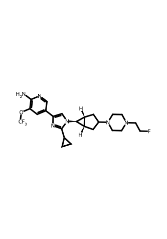 Nc1ncc(-c2cn([C@H]3[C@@H]4CC(N5CCN(CCF)CC5)C[C@@H]43)c(C3CC3)n2)cc1OC(F)(F)F